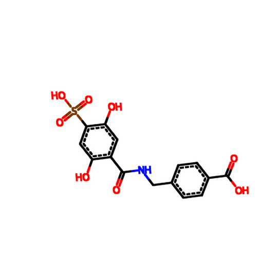 O=C(O)c1ccc(CNC(=O)c2cc(O)c(S(=O)(=O)O)cc2O)cc1